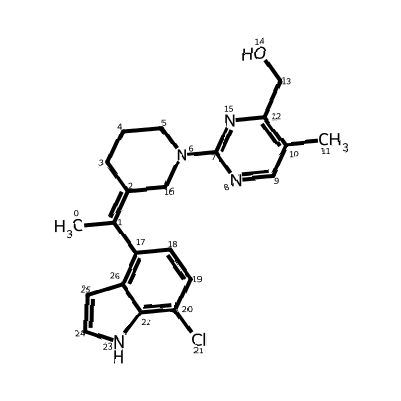 C/C(=C1\CCCN(c2ncc(C)c(CO)n2)C1)c1ccc(Cl)c2[nH]ccc12